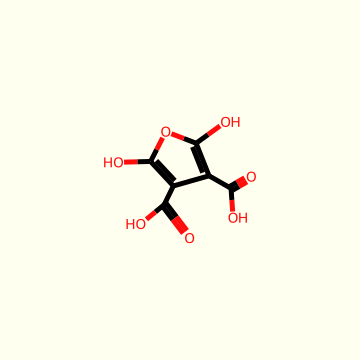 O=C(O)c1c(O)oc(O)c1C(=O)O